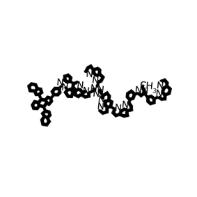 Cc1nc(-c2cccc(-c3ccc4ccc5cccnc5c4n3)c2)cc(-c2cccc(-c3ccc4ccc5ccc(-c6cc7ccc(-c8nc(-c9ccc%10ccc%11cccnc%11c%10n9)nc(-c9ccc%10ccc%11cc(-c%12cccc%13nc(-c%14ccc(-c%15ccc%16c(-c%17ccc%18ccccc%18c%17)c%17ccccc%17c(-c%17ccc%18ccccc%18c%17)c%16c%15)cc%14)n(-c%14ccccc%14)c%12%13)cnc%11c%10n9)n8)nc7c7ncccc67)nc5c4n3)c2)n1